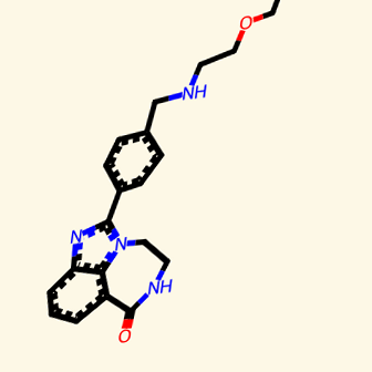 CCOCCNCc1ccc(-c2nc3cccc4c3n2CCNC4=O)cc1